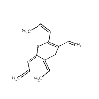 C=C/C=C1/SC(/C=C\C)=C(C=C)C/C1=C/C